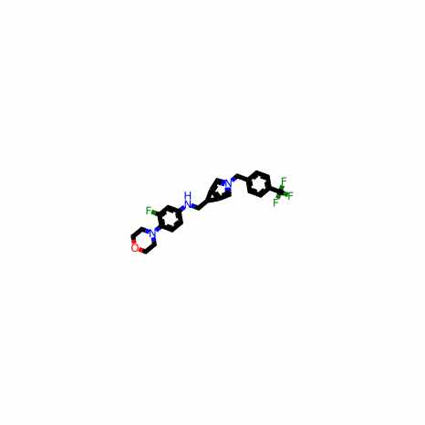 Fc1cc(NCC2c3cn(Cc4ccc(C(F)(F)F)cc4)cc32)ccc1N1CCOCC1